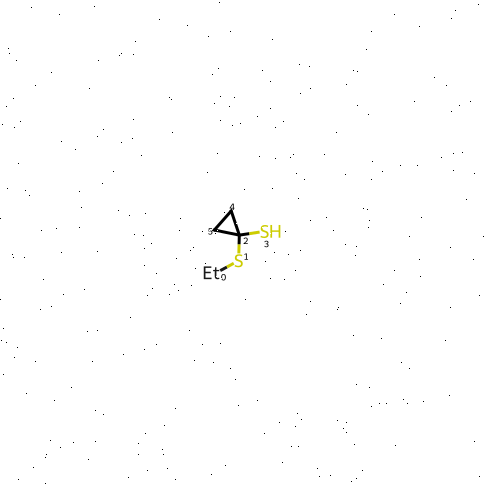 CCSC1(S)CC1